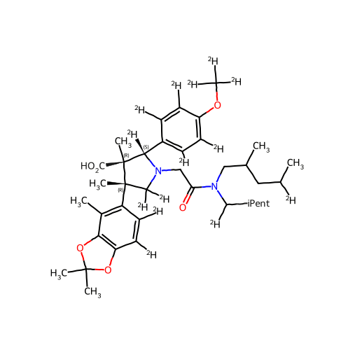 [2H]c1c([2H])c([C@]2([2H])N(CC(=O)N(CC(C)CC([2H])C)C([2H])C(C)CCC)C([2H])([2H])[C@](C)(c3c([2H])c([2H])c4c(c3C)OC(C)(C)O4)[C@@]2(C)C(=O)O)c([2H])c([2H])c1OC([2H])([2H])[2H]